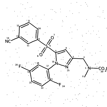 CN(Cc1cc(S(=O)(=O)c2cccc(C#N)c2)n(-c2cc(F)ccc2F)n1)C(=O)O